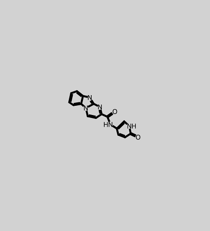 O=C(Nc1ccc(=O)[nH]c1)c1ccn2c(n1)nc1ccccc12